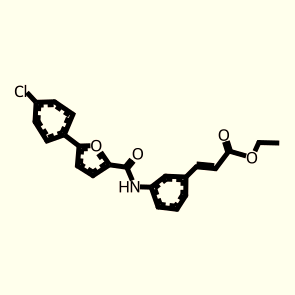 CCOC(=O)/C=C/c1cccc(NC(=O)c2ccc(-c3ccc(Cl)cc3)o2)c1